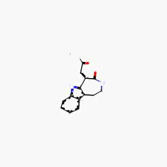 COC(=O)/C=C1\C(=O)NCCc2c1[nH]c1ccccc21